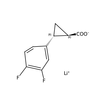 O=C([O-])[C@@H]1C[C@H]1c1ccc(F)c(F)c1.[Li+]